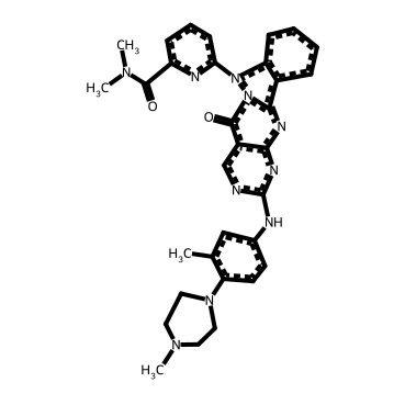 Cc1cc(Nc2ncc3c(=O)n4c(nc3n2)c2ccccc2n4-c2cccc(C(=O)N(C)C)n2)ccc1N1CCN(C)CC1